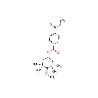 COC(=O)c1ccc(C(=O)OC2CC(C)(C)N(OC)C(C)(C)C2)cc1